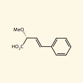 CO[C@H](C=Cc1ccccc1)C(=O)O